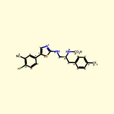 N#Cc1cc(-c2cnc(NC[C@H](Cc3ccc(C(F)(F)F)cc3)NC(=O)O)s2)ccc1F